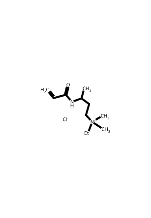 C=CC(=O)NC(C)CC[N+](C)(C)CC.[Cl-]